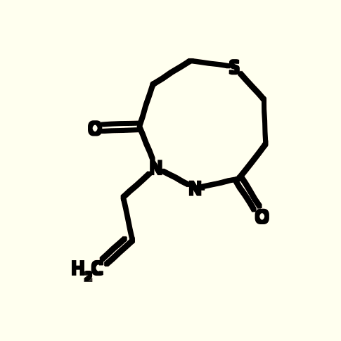 C=CCN1[N]C(=O)CCSCCC1=O